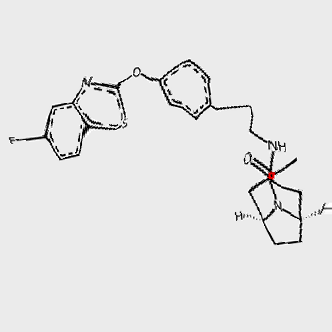 CC(=O)N1[C@@H]2CC[C@H]1CC(NCCc1ccc(Oc3nc4cc(F)ccc4s3)cc1)C2